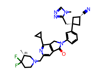 C[C@@H]1CN(Cc2cc3c(c(C4CC4)n2)CN(c2cccc([C@]4(Cc5nncn5C)C[C@@H](C#N)C4)c2)C3=O)CCC1(F)F